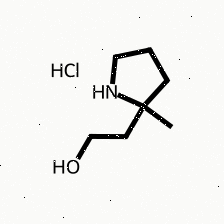 CC1(CCO)CCCN1.Cl